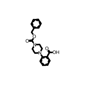 O=C(O)c1ccccc1N1CCN(C(=O)OCc2ccccc2)CC1